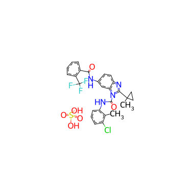 Cc1c(Cl)cccc1NC(=O)n1c(C2(C)CC2)nc2ccc(NC(=O)c3ccccc3C(F)(F)F)cc21.O=S(=O)(O)O